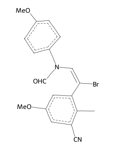 COc1ccc(N(C=O)/C=C(/Br)c2cc(OC)cc(C#N)c2C)cc1